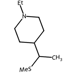 CCN1CCC(C(C)SC)CC1